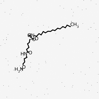 CCCCCCCCCCCCCCCC(=O)NS(=O)(=O)CCCCCC(=O)NCCCCON